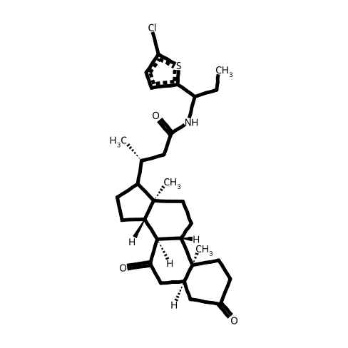 CCC(NC(=O)C[C@@H](C)C1CC[C@H]2[C@@H]3C(=O)C[C@@H]4CC(=O)CC[C@]4(C)[C@H]3CC[C@]12C)c1ccc(Cl)s1